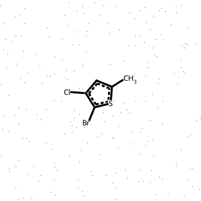 Cc1cc(Cl)c(Br)s1